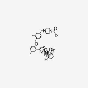 Cc1ccc(OCc2ccc(CN3CCN(C(=O)C4CC4)CC3)cc2C)c(-c2csc(N3C[C@H]4CC[C@@H](C3)[C@H]4C(=O)O)n2)c1